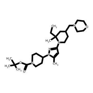 CCC1(C)CC(CN2CCOCC2)CCN1c1cc(C)n(C2CCN(C(=O)OC(C)(C)C)CC2)n1